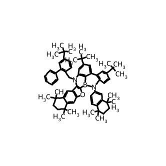 CC(C)(C)c1ccc(CN2c3cc(C(C)(C)C)cc4c3B(c3oc5cc6c(cc5c32)C(C)(C)CCC6(C)C)N(c2ccc3c(c2)C(C)(C)CCC3(C)C)c2ccc(C(C)(C)C)cc2-4)c(-c2ccccc2)c1